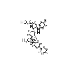 CN(c1ccc(-c2nc(C(=O)O)cc3c2[nH]c2ccc(F)cc23)cc1)S(=O)(=O)c1ccc(-c2cccnc2)cc1